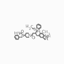 CCn1c(C(CC(=O)N2CCC(N3Cc4ccccc4NC3=O)CC2)CC2=CC3C=NNC3C(C)=C2)nc2ccccc21